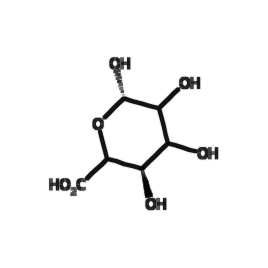 O=C(O)C1O[C@H](O)C(O)C(O)[C@H]1O